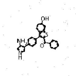 Nc1c[nH]cc1-c1ccc(-c2c(C(=O)c3ccccc3)sc3cc(O)ccc23)cc1